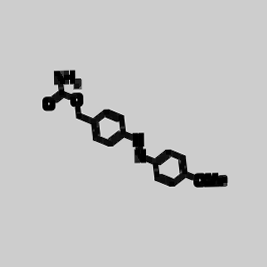 COc1ccc(N=Nc2ccc(COC(N)=O)cc2)cc1